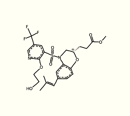 COC(=O)CC[C@H]1CN(S(=O)(=O)c2cc(C(F)(F)F)cnc2OCCO)c2cc(C=C(C)C)ccc2O1